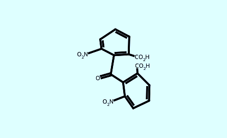 O=C(O)c1cccc([N+](=O)[O-])c1C(=O)c1c(C(=O)O)cccc1[N+](=O)[O-]